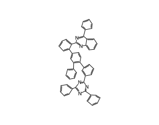 c1ccc(-c2nc(-c3ccccc3)nc(-c3cccc(-c4ccc(-c5ccccc5-c5nc(-c6ccccc6)c6ccccc6n5)cc4-c4ccccc4)c3)n2)cc1